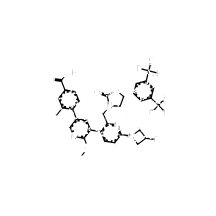 COc1ncc(-c2ccc(C(=O)O)cc2C)cc1-c1ccc(N2CC(F)C2)nc1CN1C(=O)O[C@H](c2cc(C(F)(F)F)cc(C(F)(F)F)c2)[C@@H]1C